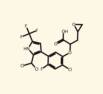 O=C(O)C(CC1CO1)Oc1cc(-c2cc(C(F)(F)F)[nH]c2C(Cl)Cl)c(F)cc1Cl